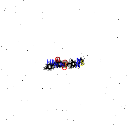 Cc1cc(N(C)c2nccs2)cc(C)c1CCS(=O)(=O)N1CCC2(CC1)N=C(C1CCC(C)CC1)NC2=O